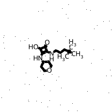 CC(C)(C)CCCNC1=C(NC2CCOCC2)C(O)C1=O